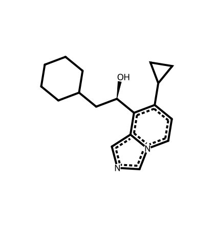 O[C@H](CC1CCCCC1)c1c(C2CC2)ccn2cncc12